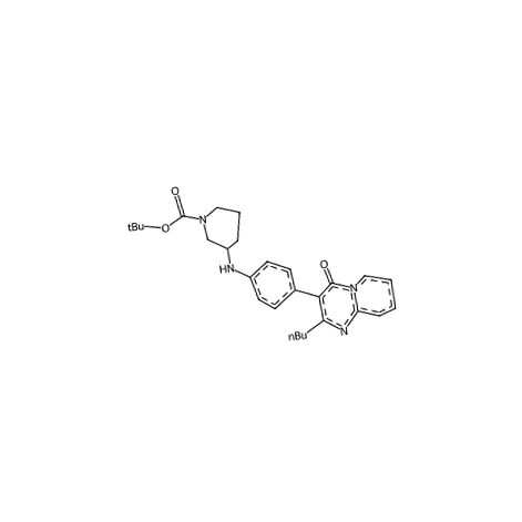 CCCCc1nc2ccccn2c(=O)c1-c1ccc(NC2CCCN(C(=O)OC(C)(C)C)C2)cc1